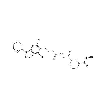 CC(C)(C)OC(=O)N1CCCC(C(=O)CNC(=O)CCCc2c(Cl)cc3c(cnn3C3CCCCO3)c2Br)C1